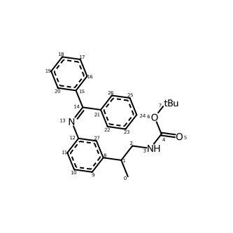 CC(CNC(=O)OC(C)(C)C)c1cccc(N=C(c2ccccc2)c2ccccc2)c1